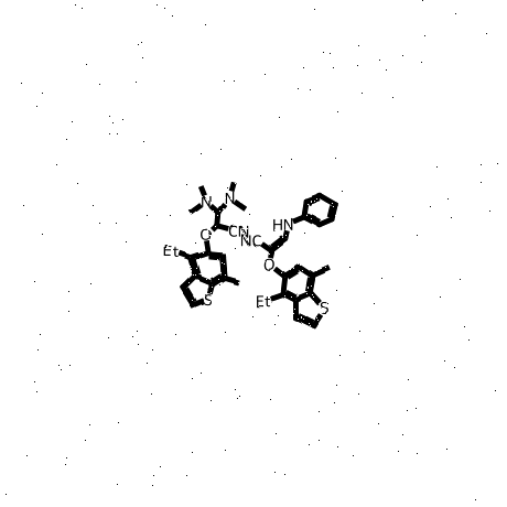 CCc1c(OC(C#N)=CNc2ccccc2)cc(C)c2sccc12.CCc1c(OC(C#N)C(N(C)C)N(C)C)cc(C)c2sccc12